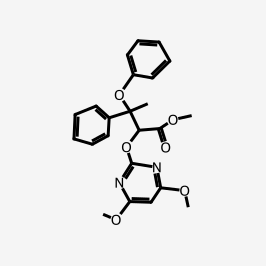 COC(=O)C(Oc1nc(OC)cc(OC)n1)C(C)(Oc1ccccc1)c1ccccc1